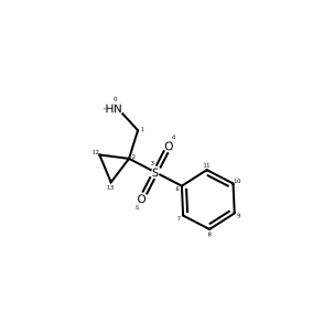 [NH]CC1(S(=O)(=O)c2ccccc2)CC1